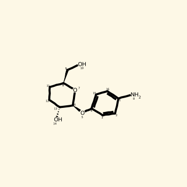 Nc1ccc(O[C@@H]2O[C@H](CO)CC[C@H]2O)cc1